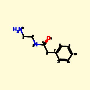 NCC[N]C(=O)Cc1ccccc1